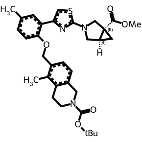 COC(=O)[C@]12C[C@H]1CN(c1nc(-c3cc(C)ccc3OCc3ccc4c(c3C)CCN(C(=O)OC(C)(C)C)C4)cs1)C2